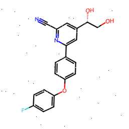 N#Cc1cc([C@H](O)CO)cc(-c2ccc(Oc3ccc(F)cc3)cc2)n1